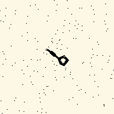 [Li][C]#Cc1ccco1